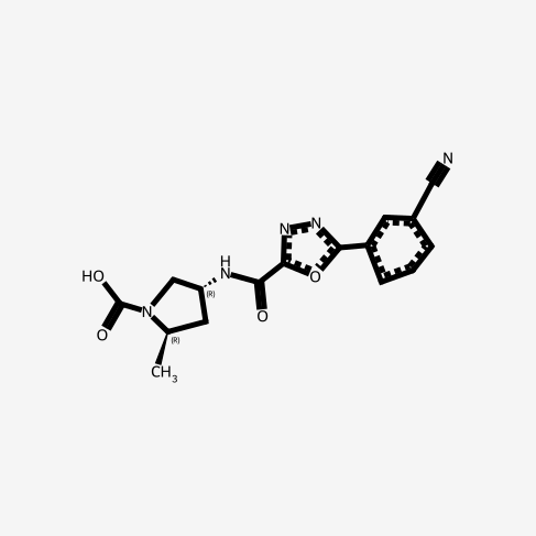 C[C@@H]1C[C@@H](NC(=O)c2nnc(-c3cccc(C#N)c3)o2)CN1C(=O)O